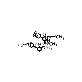 C=CCCCCn1c(=O)c(C2CCS(=O)(=O)CC2)cc2c(N[C@H](C)c3cccc(C(F)(F)C4CCN(CC=C)CC4)c3)nc(C)nc21